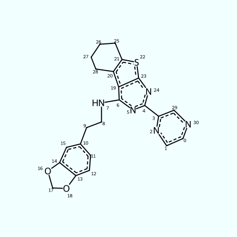 c1cnc(-c2nc(NCCc3ccc4c(c3)OCO4)c3c4c(sc3n2)CCCC4)cn1